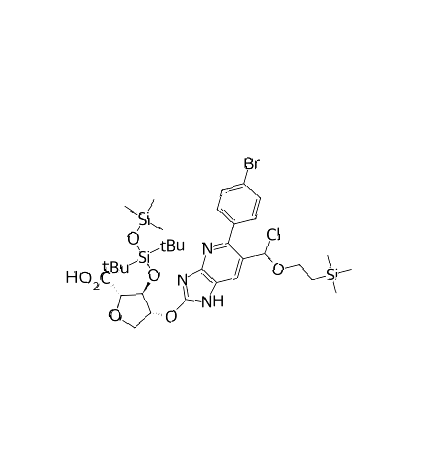 CC(C)(C)[Si](O[C@@H]1[C@@H](C(=O)O)OC[C@H]1Oc1nc2nc(-c3ccc(Br)cc3)c(C(Cl)OCC[Si](C)(C)C)cc2[nH]1)(O[Si](C)(C)C)C(C)(C)C